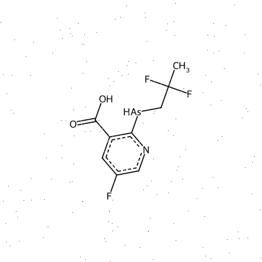 CC(F)(F)C[AsH]c1ncc(F)cc1C(=O)O